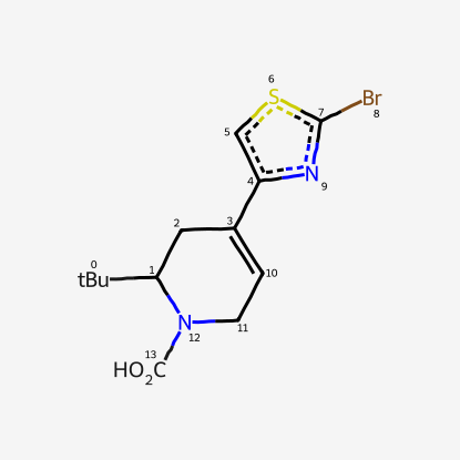 CC(C)(C)C1CC(c2csc(Br)n2)=CCN1C(=O)O